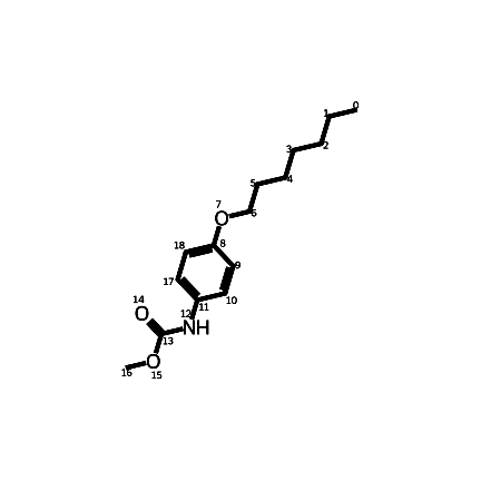 CCCCCCCOc1ccc(NC(=O)OC)cc1